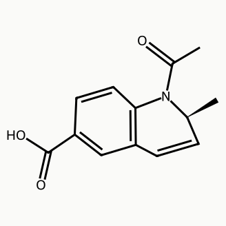 CC(=O)N1c2ccc(C(=O)O)cc2C=C[C@@H]1C